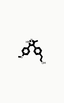 CSc1ccc(-c2[nH]nc(C)c2-c2ccc(CCO)cc2)cc1